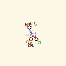 CCS(=O)(=O)c1ccc(C(Oc2ccc(Cl)cc2)C(O)Nc2nc3cc(OC)c(OC)cc3s2)cc1